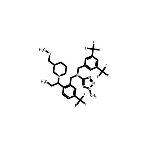 CCC(c1ccc(C(F)(F)F)cc1CN(Cc1cc(C(F)(F)F)cc(C(F)(F)F)c1)c1nnn(C)n1)N1CCCC(COC)C1